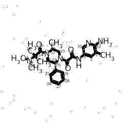 Cc1cc(NC(=O)C(=O)N2C[C@@H](C)N(C(=O)C(C)(C)N(C)C)C[C@@H]2c2ccccc2)cnc1N